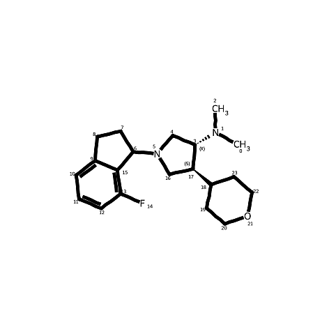 CN(C)[C@H]1CN(C2CCc3cccc(F)c32)C[C@@H]1C1CCOCC1